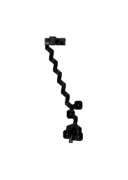 CCCCCCCCCCCCCCCCCCCCCC(=O)OCC12COP(OC1)OC2